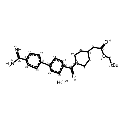 CC(C)(C)COC(=O)CC1CCN(C(=O)c2ccc(-c3ccc(C(=N)N)cc3)cc2)CC1.Cl